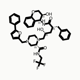 O=C(N[C@H]1c2ccccc2OC[C@H]1O)[C@H](Cc1ccccc1)C[C@@H](O)CN1CCN(Cc2ccc(-c3ccccc3)o2)C[C@H]1C(=O)NCC(F)(F)F